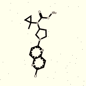 CC(C)(C)OC(=O)N(C1CCN(c2ccc3nc(Cl)ccc3n2)C1)C1(C)CC1